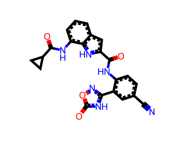 N#Cc1ccc(NC(=O)c2cc3cccc(NC(=O)C4CC4)c3[nH]2)c(-c2noc(=O)[nH]2)c1